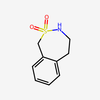 O=S1(=O)Cc2ccccc2CCN1